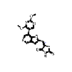 COc1ncc(-c2cncc3cc(/C=C4/SC(=S)NC4=O)oc23)c(OC)n1